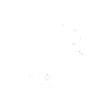 CC(C)CCCC(C)C1CCC2C3CC=C4C[C@H](OP(=O)(O)OCCCCCCCCCCCc5cc(CC(C)(C)C(=O)O)cc(CC(C)(C)C(=O)O)c5)CC[C@]4(C)C3CC[C@]12C